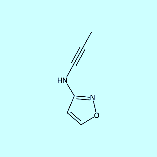 CC#CNc1ccon1